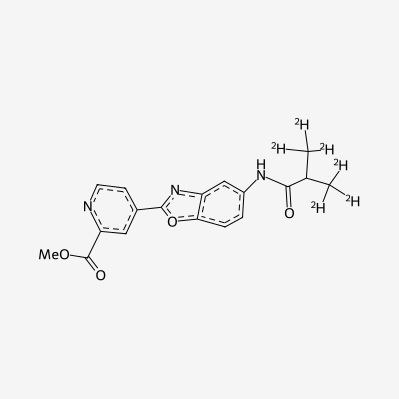 [2H]C([2H])([2H])C(C(=O)Nc1ccc2oc(-c3ccnc(C(=O)OC)c3)nc2c1)C([2H])([2H])[2H]